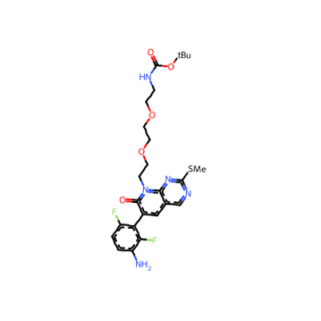 CSc1ncc2cc(-c3c(F)ccc(N)c3F)c(=O)n(CCOCCOCCNC(=O)OC(C)(C)C)c2n1